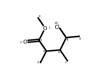 COC(=O)C(C)C(C)C(C)Cl